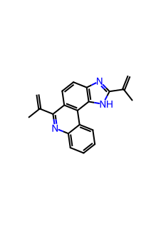 C=C(C)c1nc2ccc3c(C(=C)C)nc4ccccc4c3c2[nH]1